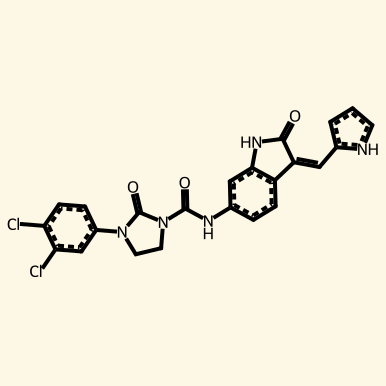 O=C1Nc2cc(NC(=O)N3CCN(c4ccc(Cl)c(Cl)c4)C3=O)ccc2C1=Cc1ccc[nH]1